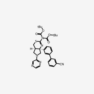 CC(C)(C)OC(=O)N(C(=O)OC(C)(C)C)C1=N[C@@]2(c3cccc(-c4cccc(C#N)c4)c3)CN(c3cnccn3)C[C@H]2CS1